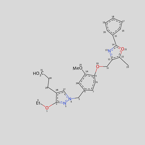 CCOc1nn(Cc2ccc(OCc3nc(-c4ccccc4)oc3C)c(OC)c2)cc1CCC(=O)O